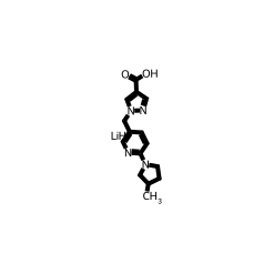 CC1CCN(c2ccc(Cn3cc(C(=O)O)cn3)cn2)C1.[LiH]